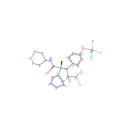 C[C@](C(=O)NC1CCOCC1)(c1cncnc1)N(C(=O)C(F)Cl)c1ccc(OC(F)(F)Cl)cc1